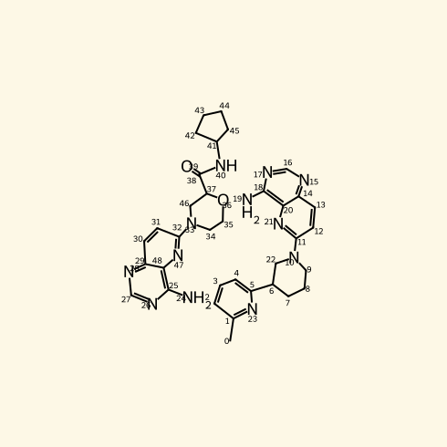 Cc1cccc(C2CCCN(c3ccc4ncnc(N)c4n3)C2)n1.Nc1ncnc2ccc(N3CCOC(C(=O)NC4CCCC4)C3)nc12